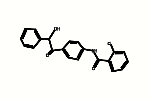 O=C(Nc1ccc(C(=O)C(O)c2ccccc2)cc1)c1ccccc1Cl